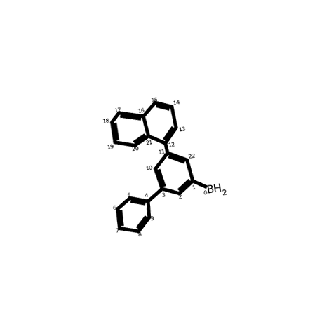 Bc1cc(-c2ccccc2)cc(-c2cccc3ccccc23)c1